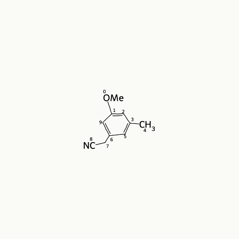 COc1cc(C)cc(CC#N)c1